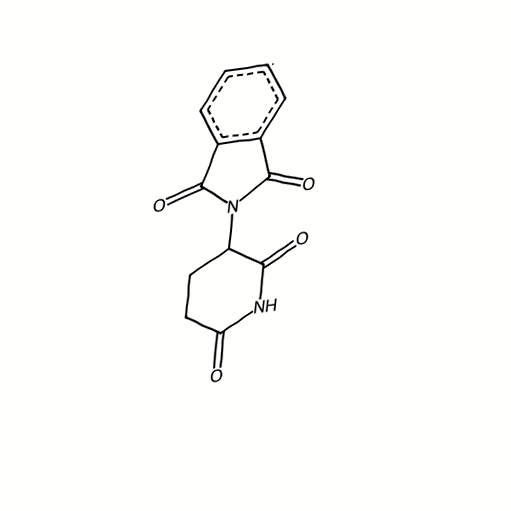 O=C1CCC(N2C(=O)c3c[c]ccc3C2=O)C(=O)N1